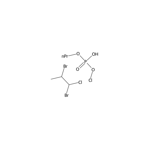 CC(Br)C(Cl)Br.CCCOP(=O)(O)OCl